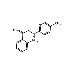 C=C(CNc1ccc(C)cn1)c1ccccc1N